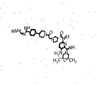 CCN(C(=O)[C@@H]1CCN(CC(=O)N2CC=C(c3ccc(C(=N)/N=C\NC)cc3)CC2)C1)c1ccc(N)c(C(=N)N2C[C@@H](C)O[C@@H](C)C2)n1